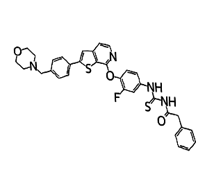 O=C(Cc1ccccc1)NC(=S)Nc1ccc(Oc2nccc3cc(-c4ccc(CN5CCOCC5)cc4)sc23)c(F)c1